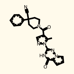 Cc1c(C(=O)N2CCC(C#N)(c3ccccc3)CC2)cnn1-c1nn2cccc2c(=O)[nH]1